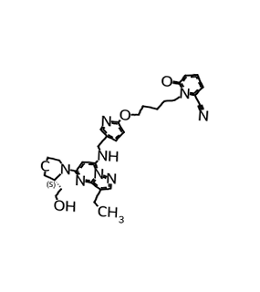 CCc1cnn2c(NCc3ccc(OCCCCCn4c(C#N)cccc4=O)nc3)cc(N3CCCC[C@H]3CCO)nc12